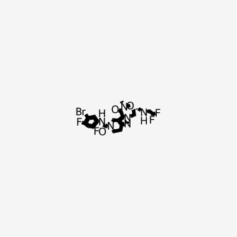 CN1O[C@H](CNCC(F)F)Cn2nc3c(c2C1=O)CN(C(=O)Nc1cc(Br)c(F)cc1F)CC3